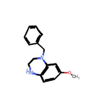 COc1ccc2c(c1)N(Cc1ccccc1)CCN2